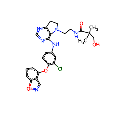 CC(C)(CO)C(=O)NCCN1CCc2ncnc(Nc3ccc(Oc4cccc5oncc45)c(Cl)c3)c21